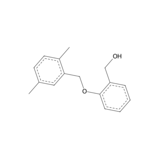 Cc1ccc(C)c(COc2ccccc2CO)c1